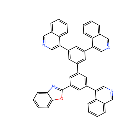 c1ccc2c(-c3cc(-c4cc(-c5cncc6ccccc56)cc(-c5cncc6ccccc56)c4)cc(-c4nc5ccccc5o4)c3)cncc2c1